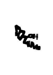 CNCC(O)c1ccc2sccc2c1